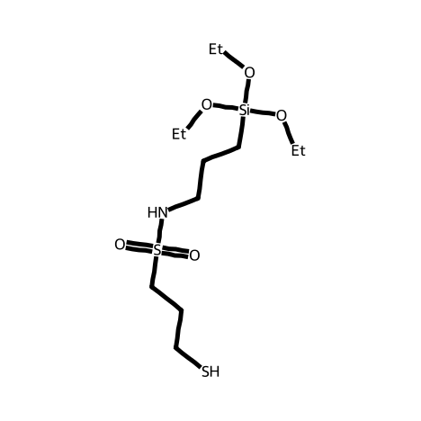 CCO[Si](CCCNS(=O)(=O)CCCS)(OCC)OCC